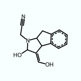 N#CCN1C(O)/C(=C/O)C2c3ccccc3CC21